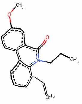 C=Cc1cccc2c3ccc(OC)cc3c(=O)n(CCC)c12